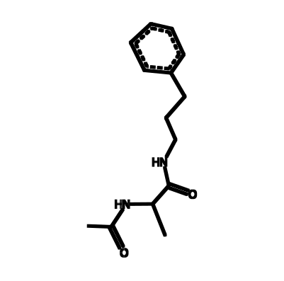 CC(=O)NC(C)C(=O)NCCCc1ccccc1